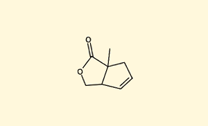 CC12CC=CC1COC2=O